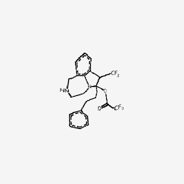 O=C(OC1(CCc2ccccc2)C(C(F)(F)F)c2cccc3c2N1CCNC3)C(F)(F)F